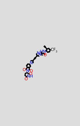 C#Cc1cc(C(F)(F)F)ccc1NC(=O)C(C)(C)n1cc(C#CC2CN(c3ccc4c(c3)C(=O)N(C3CCC(=O)NC3=O)C4=O)C2)cn1